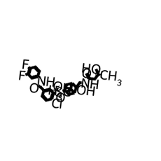 C[C@H](O)CC(=O)NC[C@]1(O)C2CC(S(=O)(=O)c3cc(C(=O)Nc4ccc(F)c(F)c4)ccc3Cl)CC1[C@@H]2C